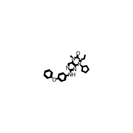 CCN1C(=O)N(C)c2cnc(Nc3ccc(Oc4ccccc4)cc3)nc2N1C1CCCC1